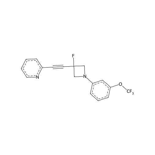 FC1(C#Cc2ccccn2)CN(c2cccc(OC(F)(F)F)c2)C1